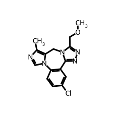 COCc1nnc2n1Cc1c(C)ncn1-c1ccc(Cl)cc1-2